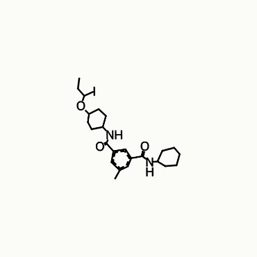 CCC(I)OC1CCC(NC(=O)c2cc(C)cc(C(=O)NC3CCCCC3)c2)CC1